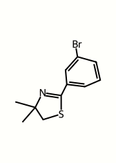 CC1(C)CSC(c2cccc(Br)c2)=N1